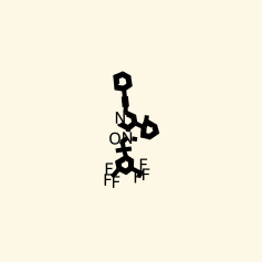 Cc1ccccc1-c1cc(C#Cc2ccccc2)ncc1N(C)C(=O)C(C)(C)c1cc(C(F)(F)F)cc(C(F)(F)F)c1